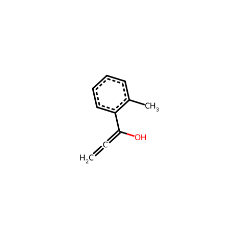 C=C=C(O)c1ccccc1C